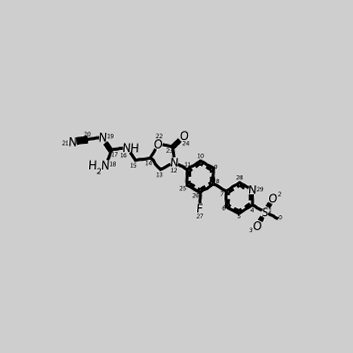 CS(=O)(=O)c1ccc(-c2ccc(N3CC(CN/C(N)=N/C#N)OC3=O)cc2F)cn1